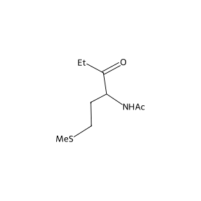 CCC(=O)C(CCSC)NC(C)=O